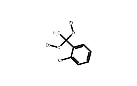 CCOC(C)(OCC)c1ccccc1Cl